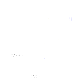 COC(=NSSC1=NCCS1)OC